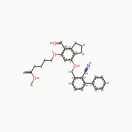 C=C(CCCCOc1cc(OCc2cccc(-c3ccccc3)c2C#N)c2c(c1C=O)CCC2)OC